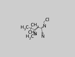 C=N/C(=C\C(C#N)=N/CCl)C(C)(C)C